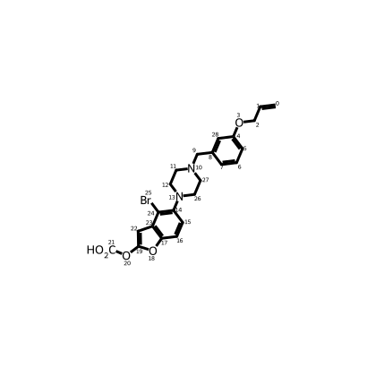 C=CCOc1cccc(CN2CCN(c3ccc4oc(OC(=O)O)cc4c3Br)CC2)c1